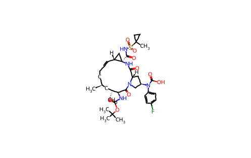 C[C@H]1CCC=C[C@@H]2C[C@@]2(C(=O)NS(=O)(=O)C2(C)CC2)NC(=O)[C@@H]2C[C@@H](N(C(=O)O)c3ccc(F)cc3)CN2C(=O)[C@@H](NC(=O)OC(C)(C)C)[C@H](C)C1